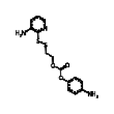 Nc1ccc(OC(=O)OCCSSc2ncccc2N)cc1